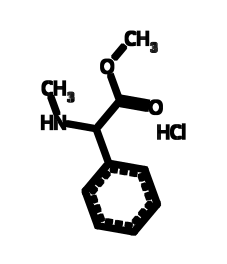 CNC(C(=O)OC)c1ccccc1.Cl